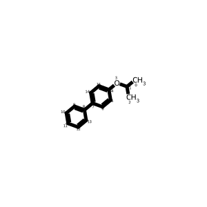 CC(C)Oc1ccc(-c2cc[c]cc2)cc1